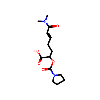 CN(C)C(=O)/C=C/CCC(OC(=O)N1CCCC1)C(=O)O